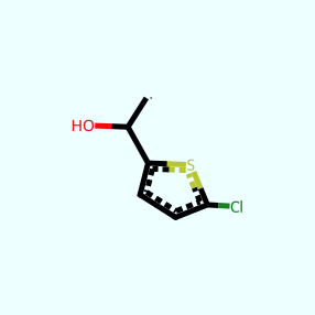 [CH2]C(O)c1ccc(Cl)s1